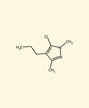 CCCc1c(C)nn(C)c1Cl